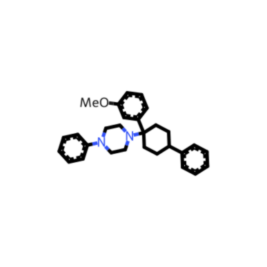 COc1cccc(C2(N3CCN(c4ccccc4)CC3)CCC(c3ccccc3)CC2)c1